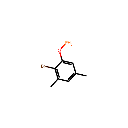 Cc1cc(C)c(Br)c(OP)c1